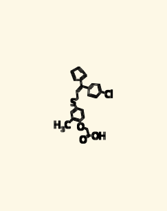 Cc1cc(SC/C=C(/c2ccccc2)c2ccc(Cl)cc2)ccc1OCC(=O)O